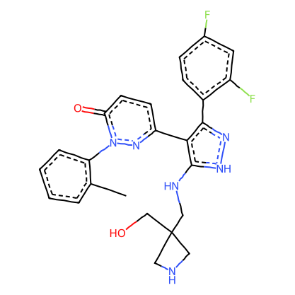 Cc1ccccc1-n1nc(-c2c(-c3ccc(F)cc3F)n[nH]c2NCC2(CO)CNC2)ccc1=O